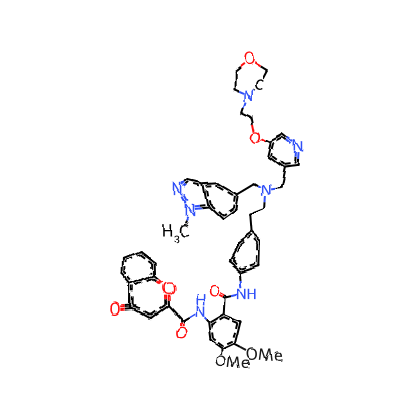 COc1cc(NC(=O)c2cc(=O)c3ccccc3o2)c(C(=O)Nc2ccc(CCN(Cc3cncc(OCCN4CCOCC4)c3)Cc3ccc4c(cnn4C)c3)cc2)cc1OC